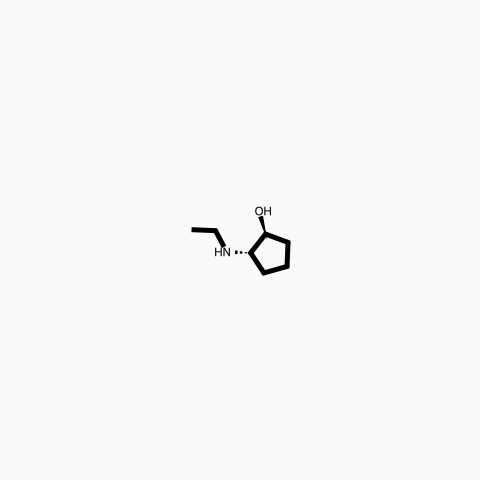 CCN[C@H]1CCC[C@@H]1O